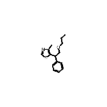 CCCOCC(c1ccccc1)c1scnc1C